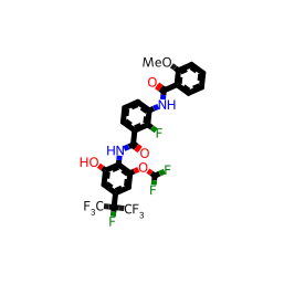 COc1ccccc1C(=O)Nc1cccc(C(=O)Nc2c(O)cc(C(F)(C(F)(F)F)C(F)(F)F)cc2OC(F)F)c1F